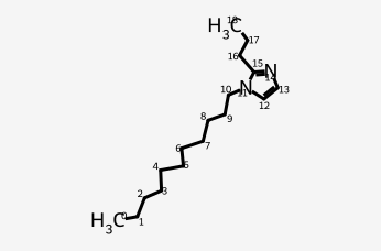 CCCCCCCCCCCn1ccnc1CCC